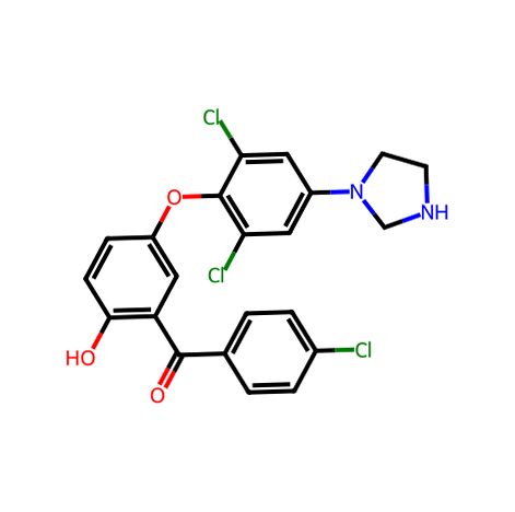 O=C(c1ccc(Cl)cc1)c1cc(Oc2c(Cl)cc(N3CCNC3)cc2Cl)ccc1O